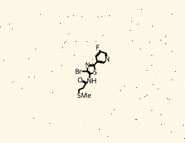 CSCCC(=O)Nc1sc(-c2cncc(F)c2)nc1Br